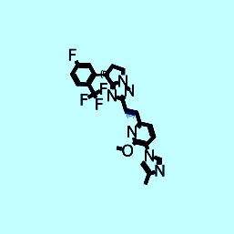 COc1nc(/C=C/c2nc3n(n2)CC[C@@H]3c2cc(F)ccc2C(F)(F)F)ccc1-n1cnc(C)c1